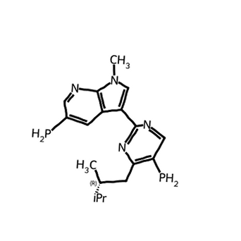 CC(C)[C@H](C)Cc1nc(-c2cn(C)c3ncc(P)cc23)ncc1P